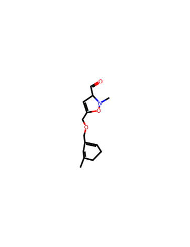 CC1=CC(COCC2=CC(C=O)N(C)O2)=CCC1